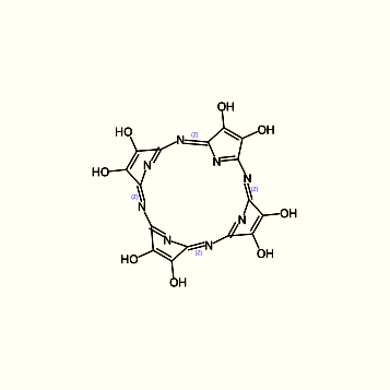 OC1=C(O)/C2=N/C3=NC(=N\C4=NC(=N\C5=NC(=N\C1=N2)/C(O)=C5O)/C(O)=C4O)/C(O)=C3O